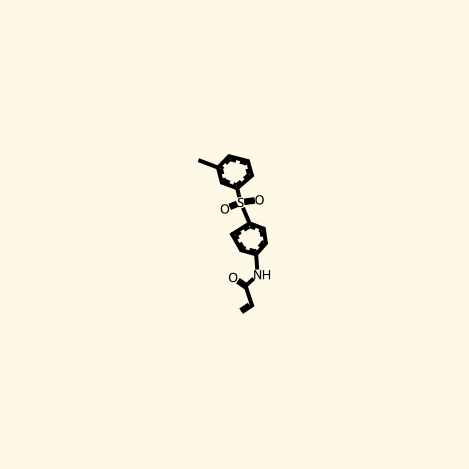 C=CC(=O)Nc1ccc(S(=O)(=O)c2cccc(C)c2)cc1